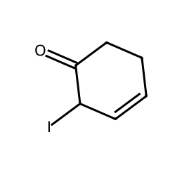 O=C1CCC=CC1I